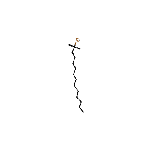 CCCCCCCCCCCCC(C)(C)[S]